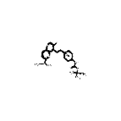 CN(C)c1ccc2ncc(F)c(CCC34CCC(NC(=O)OC(C)(C)C)(CC3)CO4)c2n1